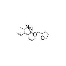 C=Cc1c(C)nnc(OCC2CCCO2)c1/C=C\C